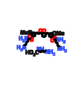 COc1cc(C=CC(=O)C2CCCC(=Cc3ccc(OC(=O)C(N)CCCCN)c(OC)c3)C2=O)ccc1OC(=O)C(N)CCCCN.NCCCCC(N)C(=O)O